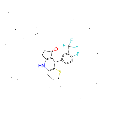 O=C1CCC2=C1C(c1ccc(F)c(C(F)(F)F)c1)C1=C(CCCS1)N2